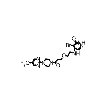 O=C(CCOCCNc1cn[nH]c(=O)c1Br)N1CCN(c2ncc(C(F)(F)F)cn2)CC1